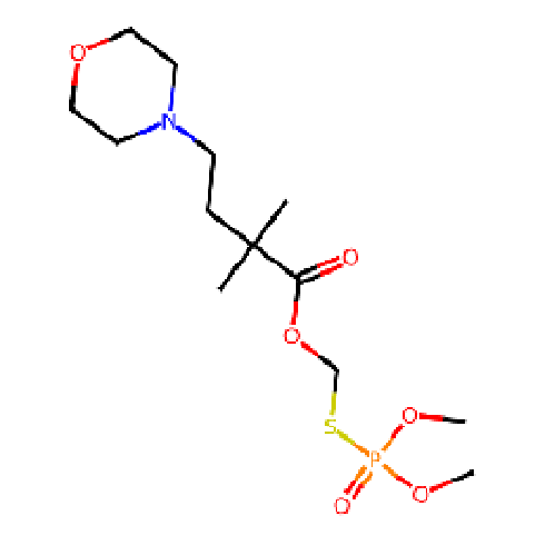 COP(=O)(OC)SCOC(=O)C(C)(C)CCN1CCOCC1